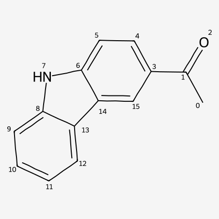 CC(=O)c1ccc2[nH]c3ccccc3c2c1